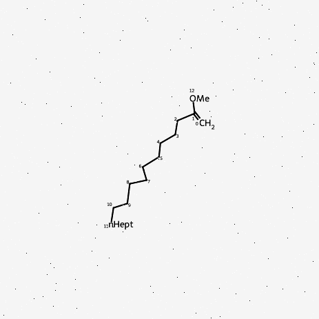 C=C(CCCCCCCCCCCCCCCC)OC